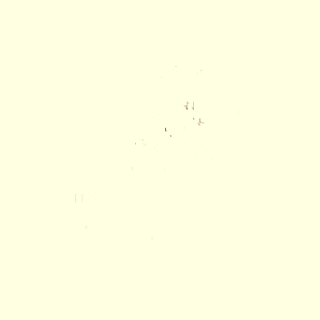 Cc1ccc2cc(C3CCC(c4c(C)cccc4F)CC3)c(=O)n(Cc3ncccc3C3CC3)c2n1